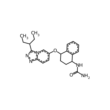 CCC(CC)c1nnc2ccc(OC3CCC(NC(N)=O)c4ccccc43)cn12